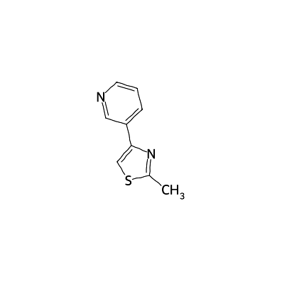 Cc1nc(-c2cccnc2)cs1